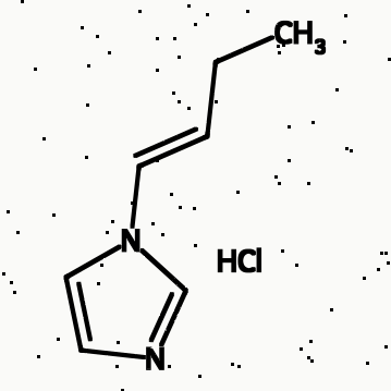 CCC=Cn1ccnc1.Cl